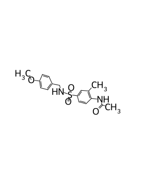 COc1ccc(CNS(=O)(=O)c2ccc(NC(C)=O)c(C)c2)cc1